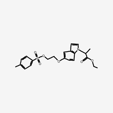 CCOC(=O)C(C)n1ccc2cc(OCCOS(=O)(=O)c3ccc(C)cc3)ccc21